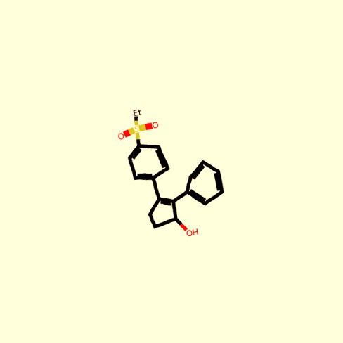 CCS(=O)(=O)c1ccc(C2=C(c3ccccc3)C(O)CC2)cc1